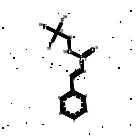 O=[PH](C=Cc1ccccc1)OCC(F)(F)F